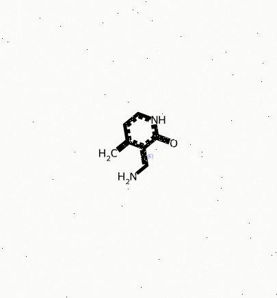 C=c1cc[nH]c(=O)/c1=C/N